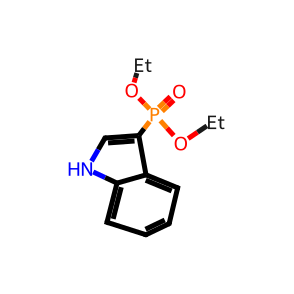 CCOP(=O)(OCC)c1c[nH]c2ccccc12